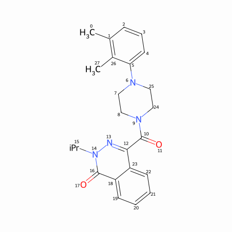 Cc1cccc(N2CCN(C(=O)c3nn(C(C)C)c(=O)c4ccccc34)CC2)c1C